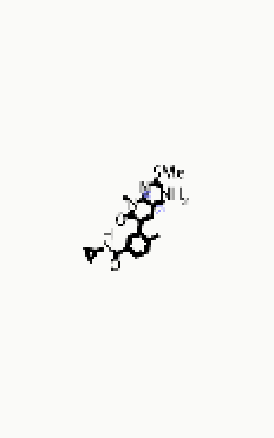 C=C(/N=C1\C(=C/N)C=C(c2cc(C(=O)NC3CC3)ccc2C)C(=O)N1C)SC